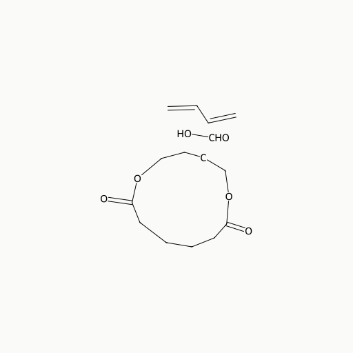 C=CC=C.O=C1CCCCC(=O)OCCCCO1.O=CO